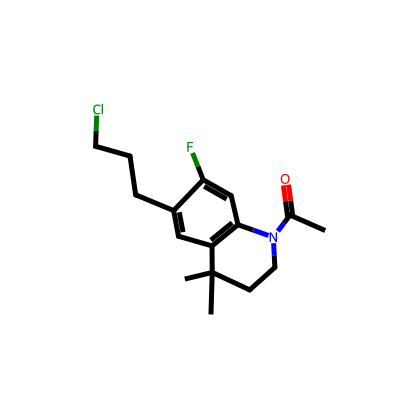 CC(=O)N1CCC(C)(C)c2cc(CCCCl)c(F)cc21